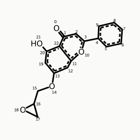 O=c1cc(-c2ccccc2)oc2cc(OCC3CO3)cc(O)c12